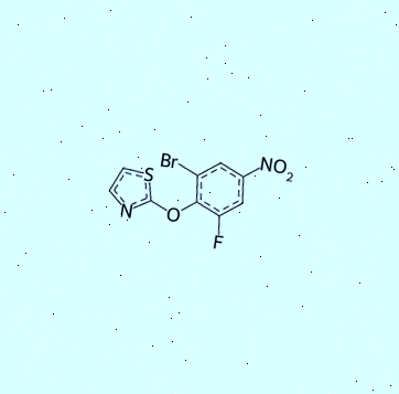 O=[N+]([O-])c1cc(F)c(Oc2nccs2)c(Br)c1